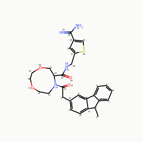 CC1c2ccccc2-c2cc(CC(=O)N3CCOCCOCC3C(=O)NCc3cc(C(=N)N)cs3)ccc21